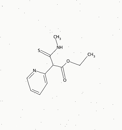 CCOC(=O)C(C(=S)NC)c1ccccn1